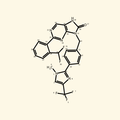 Cn1cc(C(F)(F)F)nc1-c1ccc(Cn2c(=O)[nH]c3cnc(-c4ccccc4C(F)F)nc32)cc1